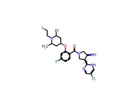 CCC1CC(Oc2cc(F)ccc2C(=O)N2CC(=N)/C(=C3/N=CC(Cl)=CN3)C2)CC(C)N1CCF